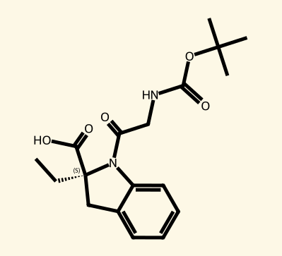 CC[C@@]1(C(=O)O)Cc2ccccc2N1C(=O)CNC(=O)OC(C)(C)C